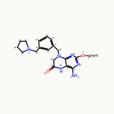 CCCC(C)Oc1nc(N)c2c(n1)N(Cc1cccc(CN3CCCC3)c1)CC(=O)N2